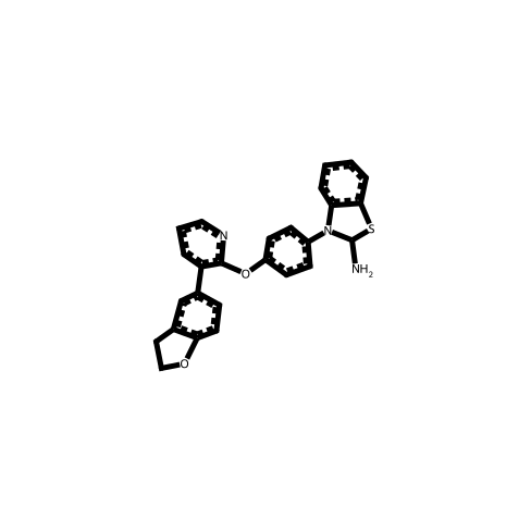 NC1Sc2ccccc2N1c1ccc(Oc2ncccc2-c2ccc3c(c2)CCO3)cc1